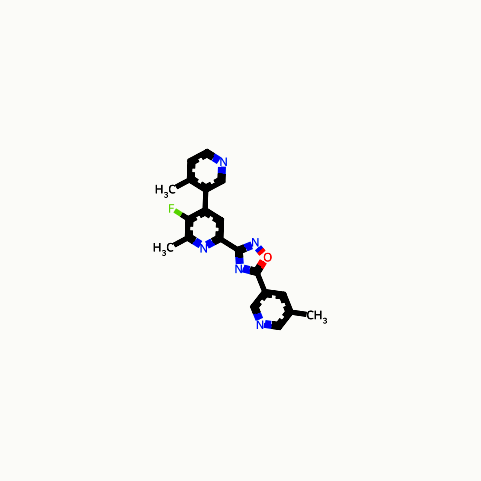 Cc1cncc(-c2nc(-c3cc(-c4cnccc4C)c(F)c(C)n3)no2)c1